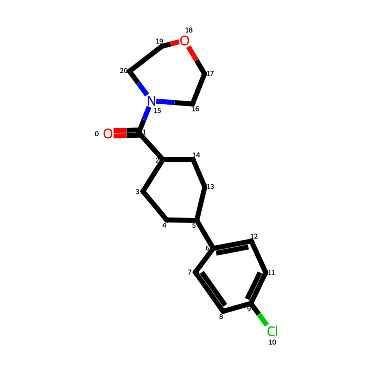 O=C(C1CCC(c2ccc(Cl)cc2)CC1)N1CCOCC1